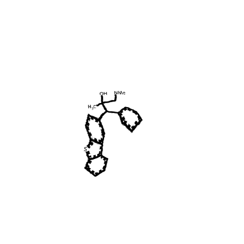 CNCC(C)(O)C(c1ccccc1)c1ccc2sc3ccccc3c2c1